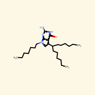 CCCCCCCn1cc(C(CCCCCC)CCCCCC)c2c(=O)[nH]c(N)nc21